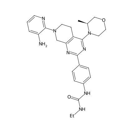 CCNC(=O)Nc1ccc(-c2nc3c(c(N4CCOC[C@@H]4C)n2)CCN(c2ncccc2N)C3)cc1